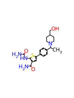 CC(c1ccc(-c2cc(C(N)=O)c(NC(N)=O)s2)cc1)N1CCC(CO)CC1